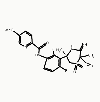 COc1ccc(C(=O)Nc2ccc(F)c([C@]3(C)CS(=O)(=O)C(C)(C)C(=N)N3)c2F)nc1